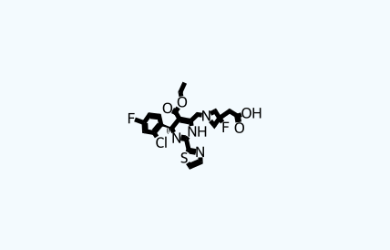 CCOC(=O)C1=C(CN2CC(F)(CC(=O)O)C2)NC(c2nccs2)=N[C@H]1c1ccc(F)cc1Cl